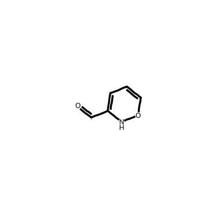 O=[C]C1=CC=CON1